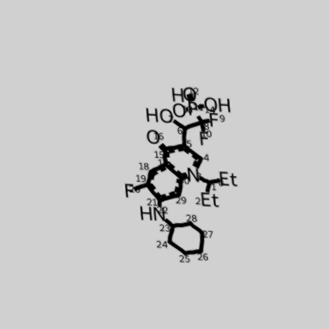 CCC(CC)n1cc(C(O)C(F)(F)P(=O)(O)O)c(=O)c2cc(F)c(NC3CCCCC3)cc21